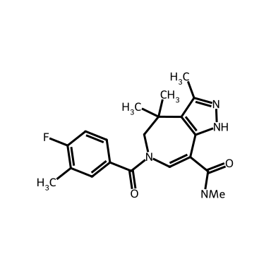 CNC(=O)C1=CN(C(=O)c2ccc(F)c(C)c2)CC(C)(C)c2c(C)n[nH]c21